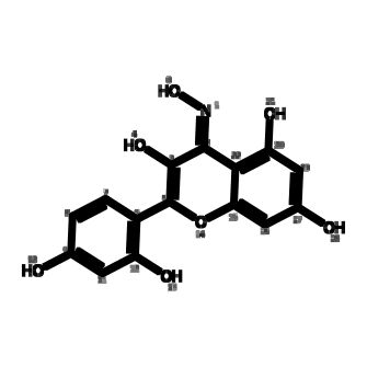 ON=c1c(O)c(-c2ccc(O)cc2O)oc2cc(O)cc(O)c12